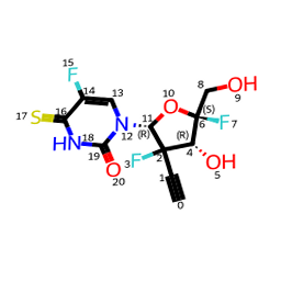 C#CC1(F)[C@@H](O)[C@@](F)(CO)O[C@H]1n1cc(F)c(=S)[nH]c1=O